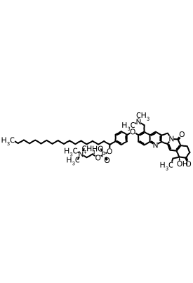 CCCCCCCCCCCCCCCCCC(OP(=O)(O)OCC[N+](C)(C)C)c1ccc(Oc2ccc3nc4c(cc3c2CN(C)C)Cn2c-4cc3c(c2=O)CCC(=O)[C@]3(O)CC)cc1